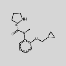 CN(C(=O)[C@@H]1CCCN1)c1ccccc1OCC1CC1